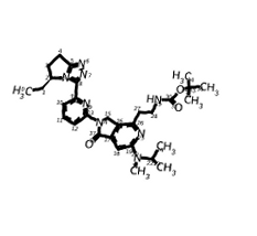 CC[C@H]1CCc2nnc(-c3cccc(N4Cc5c(cc(N(C)C(C)C)nc5CCNC(=O)OC(C)(C)C)C4=O)n3)n21